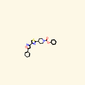 O=C(Oc1ccccc1)N1CCC(c2nc(-c3cc(C4=CCCC=C4)on3)cs2)CC1